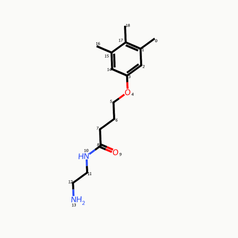 Cc1cc(OCCCC(=O)NCCN)cc(C)c1C